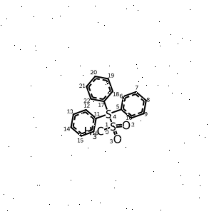 CS(=O)(=O)S(c1ccccc1)(c1ccccc1)c1ccccc1